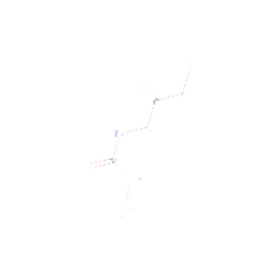 CC(=O)CC(=O)CNC(=O)OC(C)(C)C